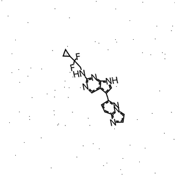 FC(F)(CNc1ncc2c(-c3ccc4nccn4n3)c[nH]c2n1)C1CC1